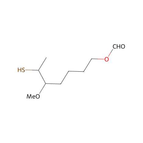 COC(CCCCOC=O)C(C)S